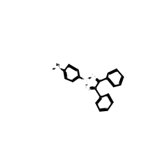 CCN(CC)c1ccc(-n2nc(-c3ccccc3)c(-c3ccccc3)n2)cc1